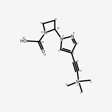 C[Si](C)(C)C#Cc1cnn(C2CCN2C(=O)O)c1